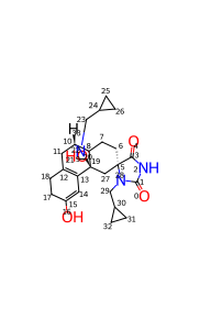 O=C1NC(=O)[C@@]2(CC[C@@]3(O)[C@H]4CC5=C(C=C(O)CC5)[C@@]3(CCN4CC3CC3)C2)N1CC1CC1